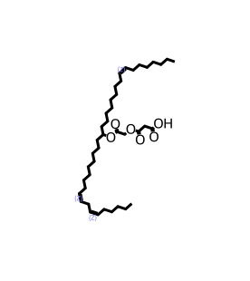 CCCCC/C=C\C/C=C\CCCCCCCCC(CCCCCCCC/C=C\CCCCCCC)OC(=O)COC(=O)CC(=O)O